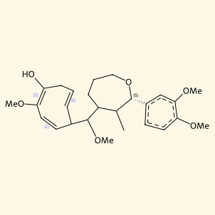 COC1=C(\O)C/C=C/C(C(OC)C2CCCO[C@H](c3ccc(OC)c(OC)c3)C2C)/C=C\1